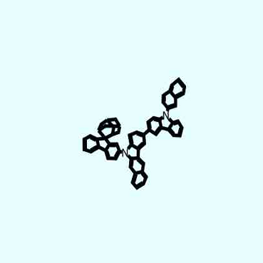 c1ccc2c(c1)-c1ccc(-n3c4ccc(-c5ccc6c(c5)c5ccccc5n6-c5ccc6ccccc6c5)cc4c4cc5ccccc5cc43)cc1C21C2CC3CC(C2)CC1C3